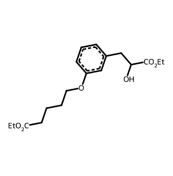 CCOC(=O)CCCCOc1cccc(CC(O)C(=O)OCC)c1